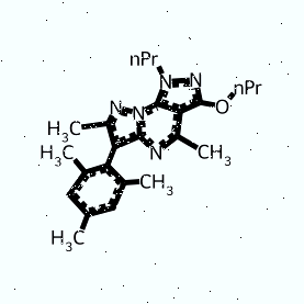 CCCOc1nn(CCC)c2c1c(C)nc1c(-c3c(C)cc(C)cc3C)c(C)nn12